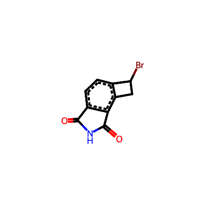 O=C1NC(=O)c2c1ccc1c2CC1Br